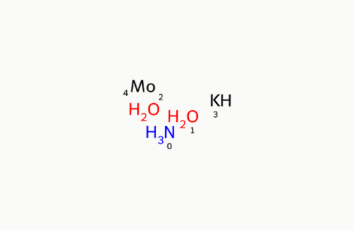 N.O.O.[KH].[Mo]